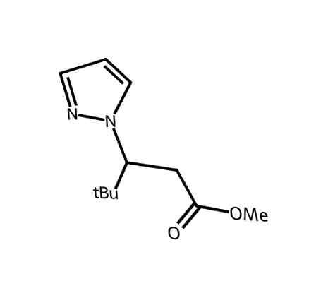 COC(=O)CC(n1cccn1)C(C)(C)C